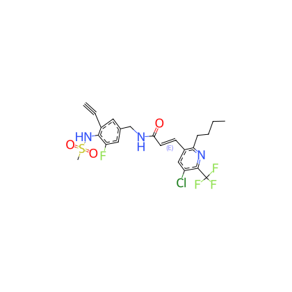 C#Cc1cc(CNC(=O)/C=C/c2cc(Cl)c(C(F)(F)F)nc2CCCC)cc(F)c1NS(C)(=O)=O